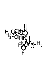 CC(=O)N[C@@H](Cc1cc(F)cc(F)c1)[C@H](O)CN[C@H]1CCNc2ccc(C(O)C(C)(C)C)cc21